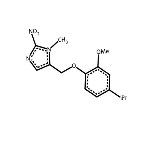 COc1cc(C(C)C)ccc1OCc1cnc([N+](=O)[O-])n1C